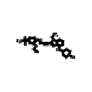 CCN1CCC(Nc2cccc3c2cc(C#CCNc2ccc(S(C)(=O)=O)cc2OCC#N)n3CC(F)(F)F)CC1